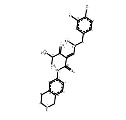 C=C(/C(=C\N(N)Cc1ccc(Cl)c(Cl)c1)C(=O)Nc1ccc2c(c1)CCNC2)C(C)C